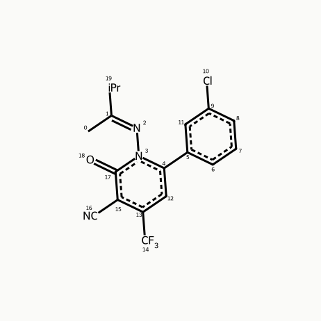 C/C(=N\n1c(-c2cccc(Cl)c2)cc(C(F)(F)F)c(C#N)c1=O)C(C)C